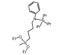 CCO[Si](C)(CCCCN(c1ccccc1)[Si](C(C)C)(C(C)C)C(C)C)OCC